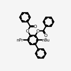 CCCCc1c(-c2ccccc2)cc(CCC)c(OC(=O)c2ccccc2)c1OC(=O)c1ccccc1